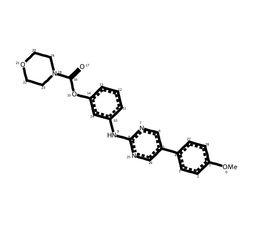 COc1ccc(-c2cnc(Nc3cccc(OC(=O)N4CCOCC4)c3)nc2)cc1